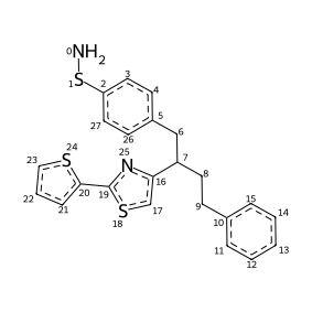 NSc1ccc(CC(CCc2ccccc2)c2csc(-c3cccs3)n2)cc1